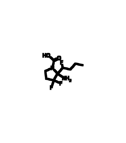 CCCC(F)C1(N)N(C(=O)O)CCC1(F)F